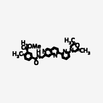 CO[C@H](C)c1cc(C(=O)NCc2cc3nc(-c4cccc(N5C[C@@H](C)O[C@@H](C)C5)n4)ccc3cn2)ccc1C